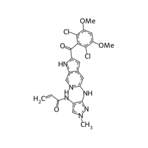 C=CC(=O)Nc1cn(C)nc1Nc1cc2cc(C(=O)c3c(Cl)c(OC)cc(OC)c3Cl)[nH]c2cn1